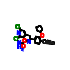 COc1ccc(C(Cc2cc(Cl)nc(Cl)c2)=NOC(N)=O)cc1OC1CCCC1